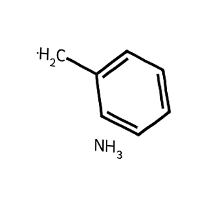 N.[CH2]c1ccccc1